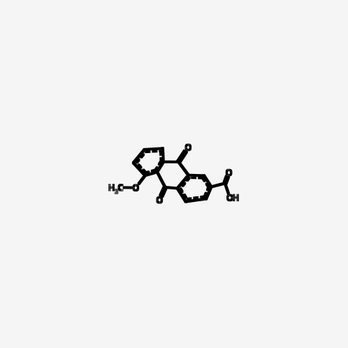 COc1cccc2c1C(=O)c1ccc(C(=O)O)cc1C2=O